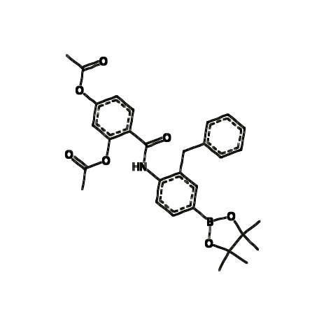 CC(=O)Oc1ccc(C(=O)Nc2ccc(B3OC(C)(C)C(C)(C)O3)cc2Cc2ccccc2)c(OC(C)=O)c1